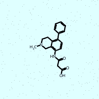 CN1CCc2c(-c3ccccc3)ccc(NC(=O)CC(=O)O)c2C1